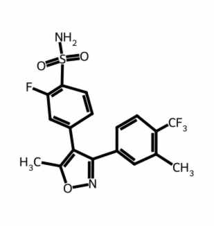 Cc1cc(-c2noc(C)c2-c2ccc(S(N)(=O)=O)c(F)c2)ccc1C(F)(F)F